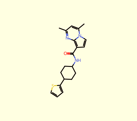 Cc1cc(C)n2ccc(C(=O)NC3CCC(c4cccs4)CC3)c2n1